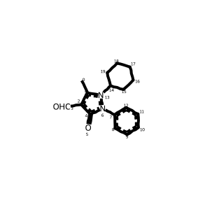 Cc1c(C=O)c(=O)n(-c2ccccc2)n1C1CCCCC1